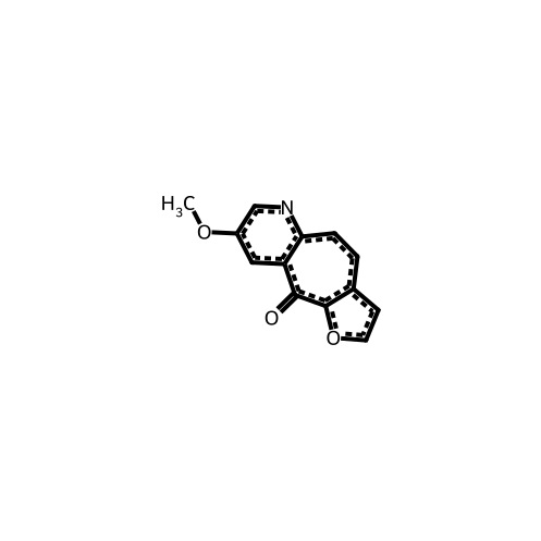 COc1cnc2ccc3ccoc3c(=O)c2c1